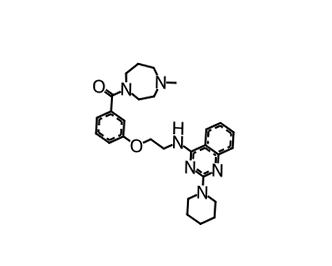 CN1CCCN(C(=O)c2cccc(OCCNc3nc(N4CCCCC4)nc4ccccc34)c2)CC1